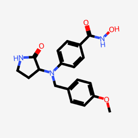 COc1ccc(CN(c2ccc(C(=O)NO)cc2)C2CCNC2=O)cc1